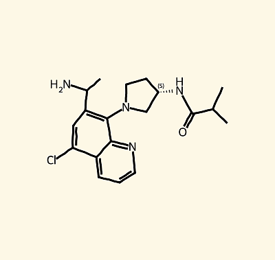 CC(C)C(=O)N[C@H]1CCN(c2c(C(C)N)cc(Cl)c3cccnc23)C1